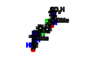 COc1nc(O[C@H]2CCc3c(-c4cccc(-c5cnc([C@@H](C)NC[C@H]6CCC(=O)N6)c(OC)n5)c4Cl)cccc32)c(Cl)cc1CN1CC[C@@H](C(=O)O)C1